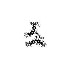 CC(C)(O)C(=O)c1ccc(C(OCCN(CCO)CCOC(c2ccc(C(=O)C(C)(C)O)cc2)c2ccc(C(=O)C(C)(C)O)cc2)c2ccc(C(=O)C(C)(C)O)cc2)cc1